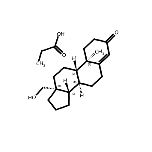 CCC(=O)O.C[C@]12CCC(=O)C=C1CC[C@H]1[C@@H]3CCC[C@@]3(CO)CC[C@@H]12